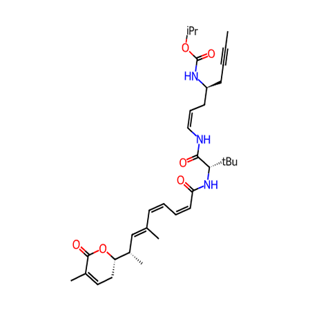 CC#CC[C@@H](C/C=C\NC(=O)[C@@H](NC(=O)\C=C/C=C\C(C)=C\[C@H](C)[C@@H]1CC=C(C)C(=O)O1)C(C)(C)C)NC(=O)OC(C)C